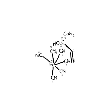 C=CC(=O)O.N#[C][Fe]([C]#N)([C]#N)([C]#N)([C]#N)[C]#N.[CaH2]